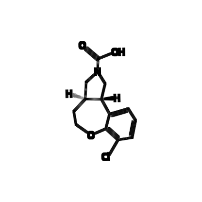 O=C(O)N1C[C@@H]2CCOc3c(Cl)cccc3[C@H]2C1